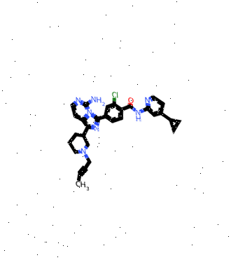 CC#CCN1CCCC(c2nc(-c3ccc(C(=O)Nc4cc(C5CC5)ccn4)c(Cl)c3)n3c(N)nccc23)C1